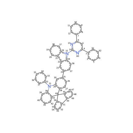 c1ccc(-c2cc(-c3ccccc3)nc(-n3c4ccccc4c4cc(-c5ccc6c(c5)N(c5ccccc5)c5ccccc5C65c6ccccc6-c6ccccc65)ccc43)n2)cc1